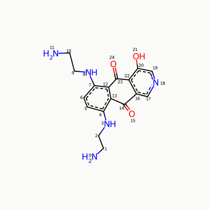 NCCNc1ccc(NCCN)c2c1C(=O)c1cncc(O)c1C2=O